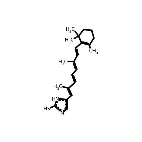 CC1=C(/C=C/C(C)=C/C=C/C(C)=C/c2cnc(S)[nH]2)C(C)(C)CCC1